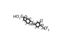 O=C(O)c1cc2ccc(CNc3ccc(OCC(F)(F)F)c(Cl)c3)cc2o1